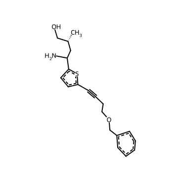 C[C@@H](CO)CC(N)c1ccc(C#CCCOCc2ccccc2)s1